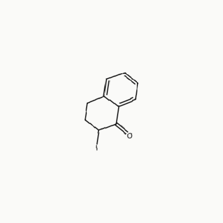 O=C1c2ccccc2CCC1I